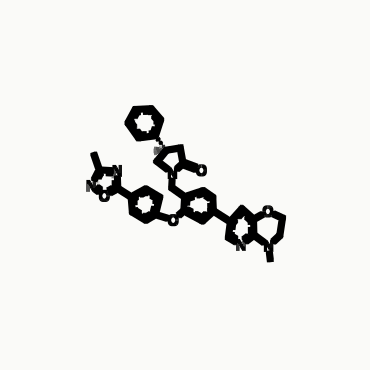 Cc1noc(-c2ccc(Oc3cc(-c4cnc5c(c4)OCCN5C)ccc3CN3C[C@H](c4ccccc4)CC3=O)cc2)n1